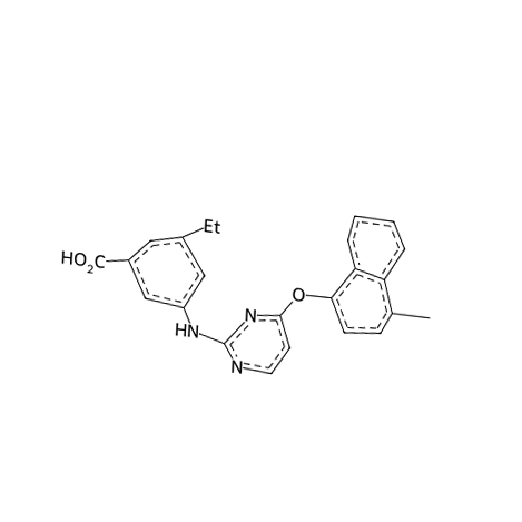 CCc1cc(Nc2nccc(Oc3ccc(C)c4ccccc34)n2)cc(C(=O)O)c1